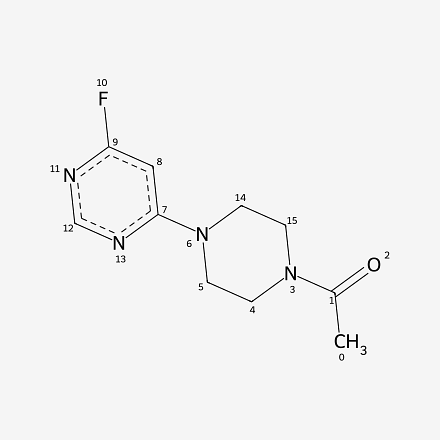 CC(=O)N1CCN(c2cc(F)ncn2)CC1